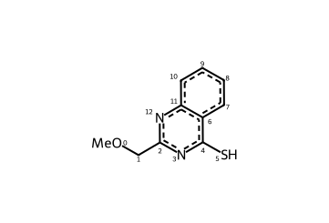 COCc1nc(S)c2ccccc2n1